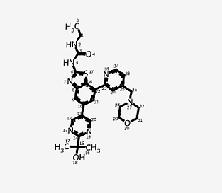 CCNC(=O)Nc1nc2cc(-c3cnc(C(C)(C)O)nc3)cc(-c3cc(CN4CCOCC4)ccn3)c2s1